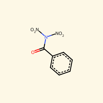 O=C(c1ccccc1)N([N+](=O)[O-])[N+](=O)[O-]